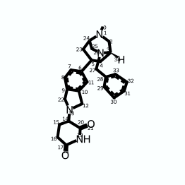 CN1C[C@@H]2CC(c3ccc4c(c3)CN(C3CCC(=O)NC3=O)C4)CC1CN2Cc1ccccc1